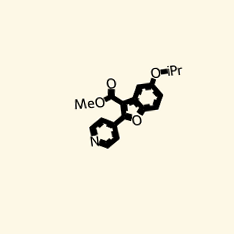 COC(=O)c1c(-c2ccncc2)oc2ccc(OC(C)C)cc12